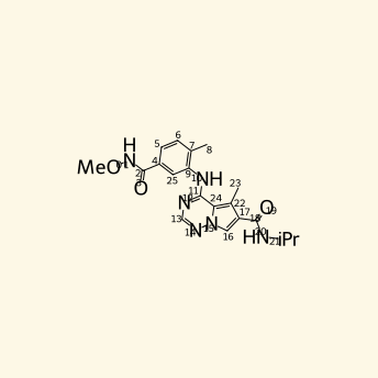 CONC(=O)c1ccc(C)c(Nc2ncnn3cc(C(=O)NC(C)C)c(C)c23)c1